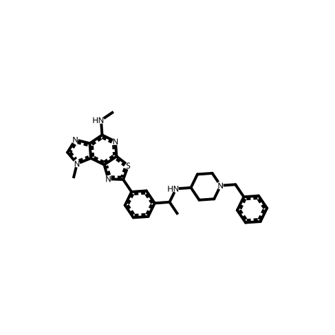 CNc1nc2sc(-c3cccc(C(C)NC4CCN(Cc5ccccc5)CC4)c3)nc2c2c1ncn2C